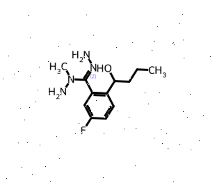 CCCC(O)c1ccc(F)cc1/C(=N/N)N(C)N